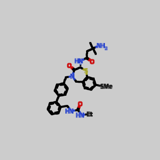 CCNC(=O)NCc1ccccc1-c1ccc(CN2Cc3ccc(SC)cc3S[C@@H](NC(=O)CC(C)(C)N)C2=O)cc1